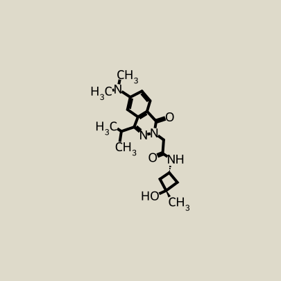 CC(C)c1nn(CC(=O)N[C@H]2C[C@@](C)(O)C2)c(=O)c2ccc(N(C)C)cc12